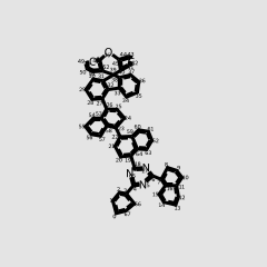 c1ccc(-c2nc(-c3cccc4ccccc34)nc(-c3ccc(-c4ccc(-c5cccc6c5-c5ccccc5C65c6ccccc6Oc6ccccc65)c5ccccc45)c4ccccc34)n2)cc1